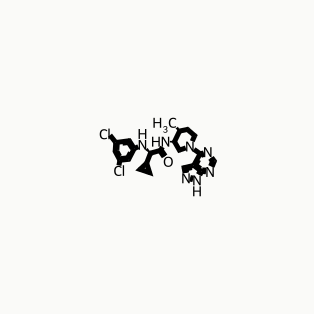 C[C@H]1CCN(c2ncnc3[nH]ncc23)C[C@@H]1NC(=O)[C@H](Nc1cc(Cl)cc(Cl)c1)C1CC1